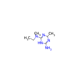 CCN(C)C1=NC(C)N=C(N)N1